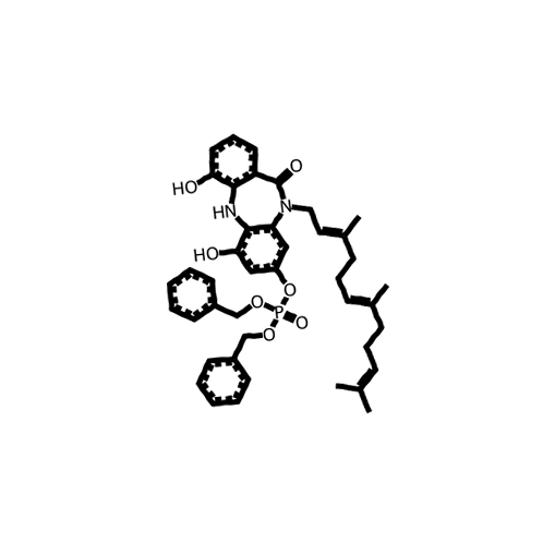 CC(C)=CCC/C(C)=C/CC/C(C)=C/CN1C(=O)c2cccc(O)c2Nc2c(O)cc(OP(=O)(OCc3ccccc3)OCc3ccccc3)cc21